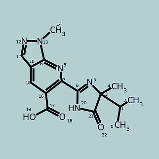 CC(C)C1(C)N=C(c2nc3c(cnn3C)cc2C(=O)O)NC1=O